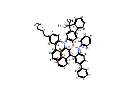 CCCCc1ccc(N2c3cc4c(cc3B3c5c2cc2ccccc2c5-c2cc(-c5ccccc5)ccc2N3c2ccccc2)-c2ccccc2C4(C)C)c(-c2ccccc2)c1